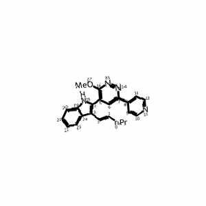 CCCC=Cc1c(-c2cc(-c3ccncc3)nnc2OC)[nH]c2ccccc12